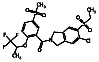 CCS(=O)(=O)c1cc2c(cc1Cl)CN(C(=O)c1cc(S(C)(=O)=O)ccc1O[C@@H](C)C(F)(F)F)C2